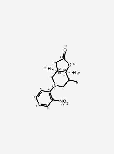 CC1CN(c2ccncc2[N+](=O)[O-])C[C@H]2CC(=O)O[C@@H]12